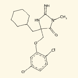 CN1C(=N)NC(COc2cc(Cl)ccc2Cl)(CC2CCCCC2)C1=O